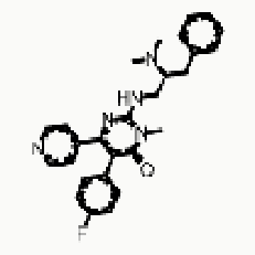 CN(C)[C@H](CNc1nc(-c2ccncc2)c(-c2ccc(F)cc2)c(=O)n1C)Cc1ccccc1